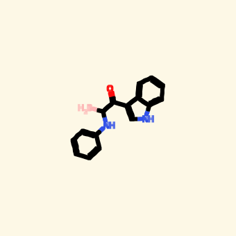 BC(Nc1ccccc1)C(=O)c1c[nH]c2ccccc12